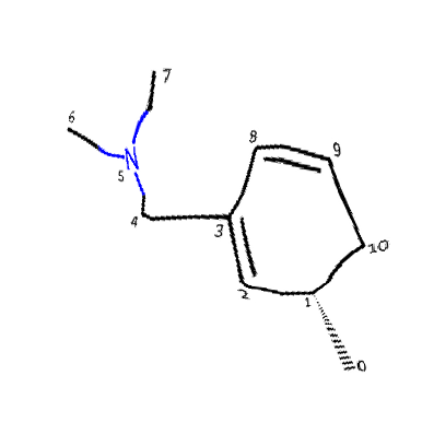 C[C@@H]1C=C(CN(C)C)C=CC1